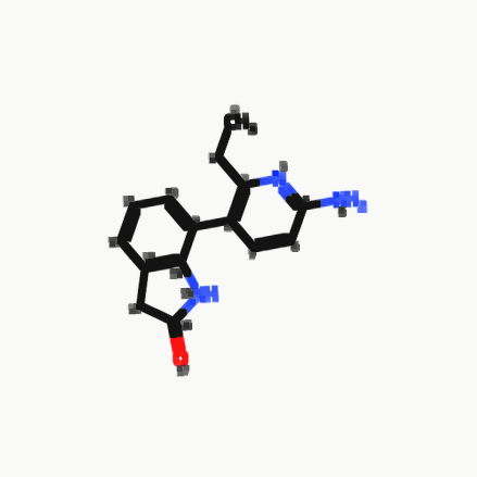 CCc1nc(N)ccc1-c1cccc2c1NC(=O)C2